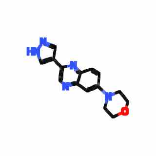 c1n[nH]cc1-c1cnc2cc(N3CCOCC3)ccc2n1